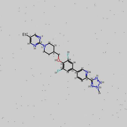 CCc1cnc(N2CCC(COc3c(F)cc(-c4ccc(-c5nnn(C)n5)nc4)cc3F)CC2)nc1